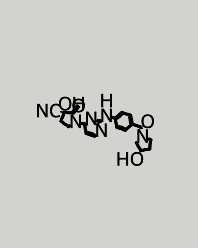 N#C[C@@]1(O)CCN(c2ccnc(Nc3ccc(C(=O)N4CC[C@H](O)C4)cc3)n2)C1=O